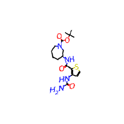 CC(C)(C)OC(=O)N1CCCC[C@H](NC(=O)c2sccc2NC(N)=O)C1